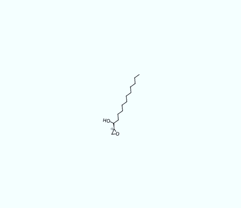 CCCCCCCCCCCC(O)[C@@H]1CO1